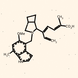 C=C/C(=C\C=C(/C)C(=O)O)C1C2CCC2CN1Cc1c(OC)cc(C)c2[nH]ccc12